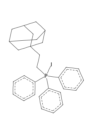 IP(CCC12CC3CC(CC(C3)C1)C2)(c1ccccc1)(c1ccccc1)c1ccccc1